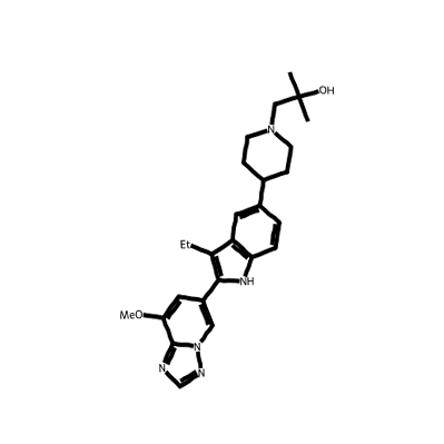 CCc1c(-c2cc(OC)c3ncnn3c2)[nH]c2ccc(C3CCN(CC(C)(C)O)CC3)cc12